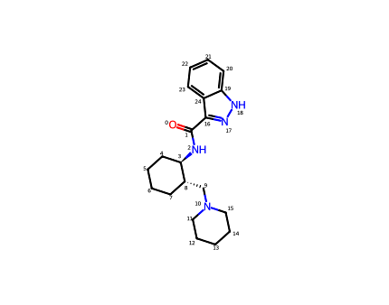 O=C(N[C@@H]1CCCC[C@H]1CN1CCCCC1)c1n[nH]c2ccccc12